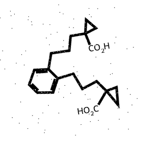 O=C(O)C1(CCCc2ccccc2CCCC2(C(=O)O)CC2)CC1